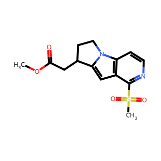 COC(=O)CC1CCn2c1cc1c(S(C)(=O)=O)nccc12